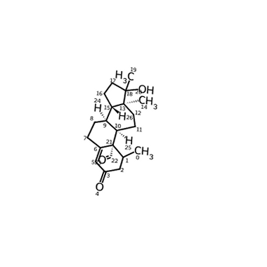 CC1CC(=O)C=C2CC[C@@H]3[C@@H](CC[C@@]4(C)[C@H]3CCC4(C)O)[C@]21C=O